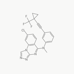 CN(c1cccc(C#CC2(C(F)(F)F)CC2)c1)c1nc2nncn2c2cc(Cl)ccc12